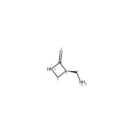 NC[C@H]1CNC1=O